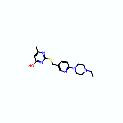 CCN1CCN(c2ccc(CSc3nc(C)cc(O)n3)cn2)CC1